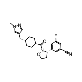 Cn1cc(C[C@H]2CC[C@H](C(=O)N3OCC[C@H]3c3cc(F)cc(C#N)c3)CC2)cn1